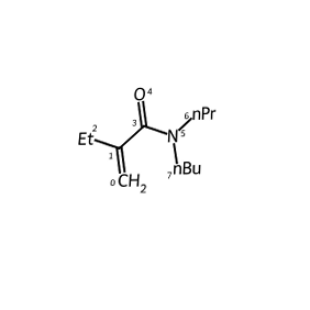 C=C(CC)C(=O)N(CCC)CCCC